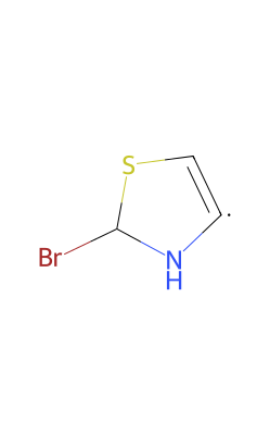 BrC1N[C]=CS1